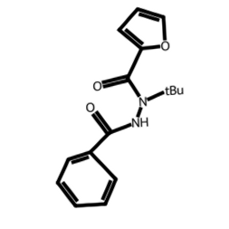 CC(C)(C)N(NC(=O)c1ccccc1)C(=O)c1ccco1